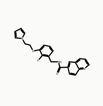 O=C(NCc1cccc(OCCn2cccc2)c1F)c1ccc2ncccc2c1